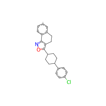 Clc1ccc(C2CCC(c3onc4c3CCc3c[c]ccc3-4)CC2)cc1